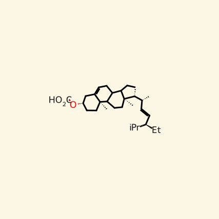 CC[C@H](/C=C/[C@@H](C)[C@H]1CCC2C3CC=C4C[C@@H](OC(=O)O)CC[C@]4(C)C3CC[C@@]21C)C(C)C